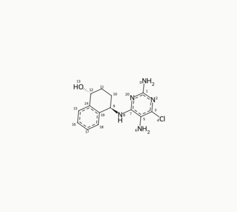 Nc1nc(Cl)c(N)c(N[C@@H]2CC[C@@H](O)c3ccccc32)n1